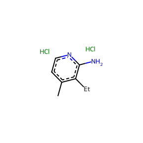 CCc1c(C)ccnc1N.Cl.Cl